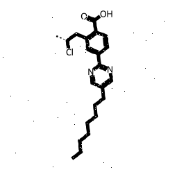 CCCCCCCCc1cnc(-c2ccc(C(=O)O)c(C[C@@H](C)Cl)c2)nc1